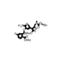 COC(=O)c1ccc(F)cc1[C@@H](C)Oc1cc(-c2c(CN(C)C(=O)OC(C)(C)C)nsc2OC)cnc1N